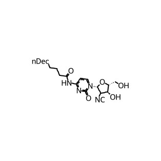 CCCCCCCCCCCCCC(=O)Nc1ccn([C@@H]2O[C@H](CO)[C@@H](O)C2C#N)c(=O)n1